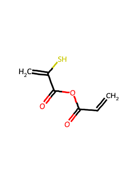 C=CC(=O)OC(=O)C(=C)S